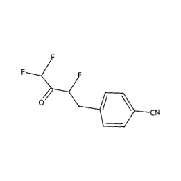 N#Cc1ccc(CC(F)C(=O)C(F)F)cc1